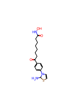 NC1SC=CN1c1ccc(C(=O)CCCCCCC(=O)NO)cc1